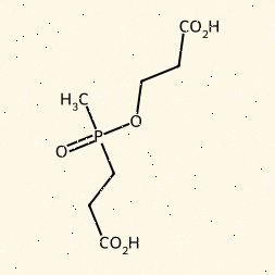 CP(=O)(CCC(=O)O)OCCC(=O)O